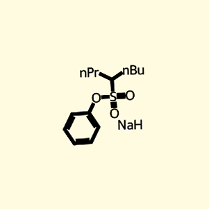 CCCCC(CCC)S(=O)(=O)Oc1ccccc1.[NaH]